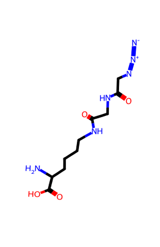 [N-]=[N+]=NCC(=O)NCC(=O)NCCCCC(N)C(=O)O